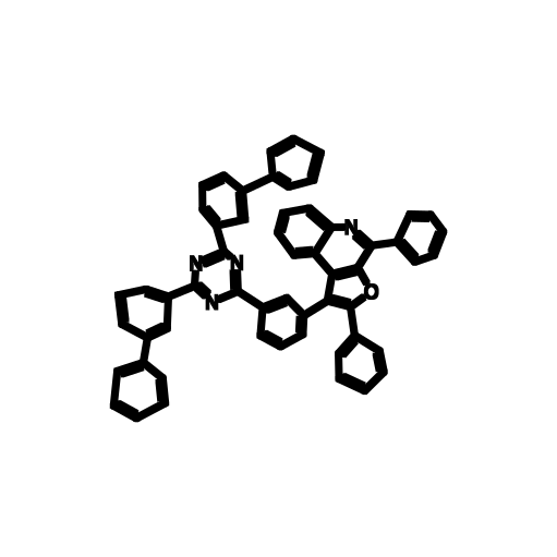 c1ccc(-c2cccc(-c3nc(-c4cccc(-c5ccccc5)c4)nc(-c4cccc(-c5c(-c6ccccc6)oc6c(-c7ccccc7)nc7ccccc7c56)c4)n3)c2)cc1